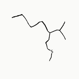 CCCCC(CSC)C(C)C